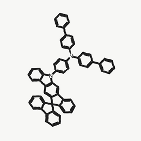 c1ccc(-c2ccc(N(c3ccc(-c4ccccc4)cc3)c3ccc(-n4c5ccccc5c5cc6c(cc54)-c4ccccc4C64c5ccccc5-c5ccccc54)cc3)cc2)cc1